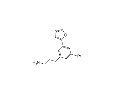 CC(C)c1cc(CCCN)cc(-c2cnco2)c1